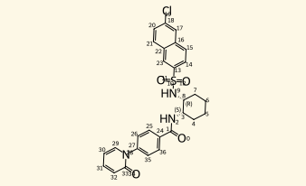 O=C(N[C@H]1CCCC[C@H]1NS(=O)(=O)c1ccc2cc(Cl)ccc2c1)c1ccc(-n2ccccc2=O)cc1